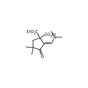 CCOC(=O)C1(C(=O)OCC)CC(C)(C)C(=O)C1=CN(C)C